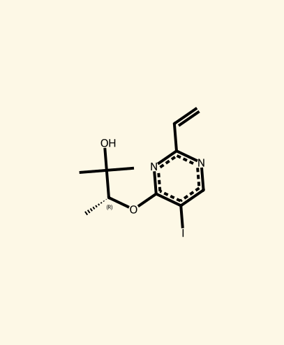 C=Cc1ncc(I)c(O[C@H](C)C(C)(C)O)n1